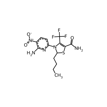 CCCCC1SC(C(N)=O)=C(C(F)(F)F)N1c1ccc([N+](=O)[O-])c(N)n1